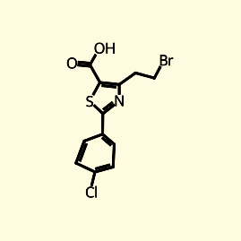 O=C(O)c1sc(-c2ccc(Cl)cc2)nc1CCBr